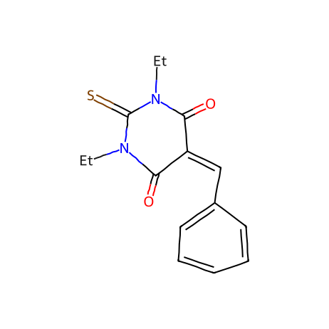 CCN1C(=O)C(=Cc2ccccc2)C(=O)N(CC)C1=S